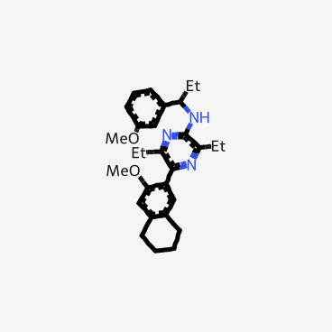 CCc1nc(-c2cc3c(cc2OC)CCCC3)c(CC)nc1NC(CC)c1cccc(OC)c1